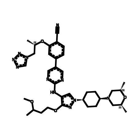 COC(C)CCOc1nn([C@H]2CC[C@H](N3C[C@@H](C)O[C@@H](C)C3)CC2)cc1Nc1ncc(-c2ccc(C#N)c(O[C@@H](C)Cn3cnnn3)c2)cn1